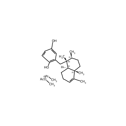 CC1=CCC[C@H]2[C@](C)(Cc3cc(O)ccc3O)[C@@H](C)CC[C@]12C.CCCC.COC(C)=O